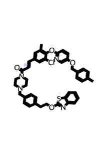 Cc1ccc(COc2ccc(Oc3c(C)cc(/C=C/C(=O)N4CCN(Cc5ccc(CCOc6nc7ccccc7s6)cc5)CC4)cc3Cl)nc2)cc1